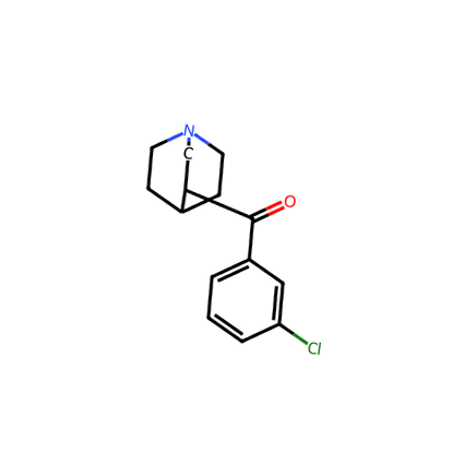 O=C(c1cccc(Cl)c1)C1CN2CCC1CC2